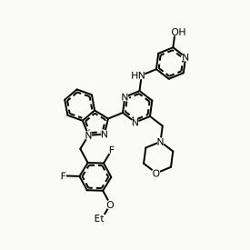 CCOc1cc(F)c(Cn2nc(-c3nc(CN4CCOCC4)cc(Nc4ccnc(O)c4)n3)c3ccccc32)c(F)c1